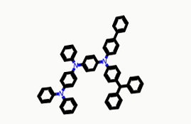 C1=CC(N(c2ccc(-c3ccccc3)cc2)c2ccc(C(c3ccccc3)c3ccccc3)cc2)CC=C1N(c1ccccc1)c1ccc(N(c2ccccc2)c2ccccc2)cc1